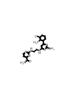 Cc1c(Cl)cccc1-c1cc(NCCNc2nccc(C(N)=O)n2)nc(N)n1